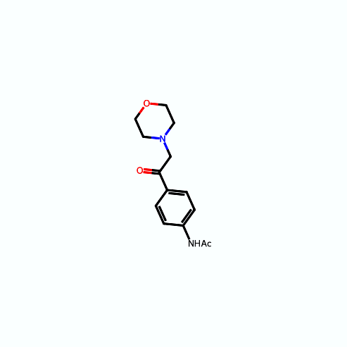 CC(=O)Nc1ccc(C(=O)CN2CCOCC2)cc1